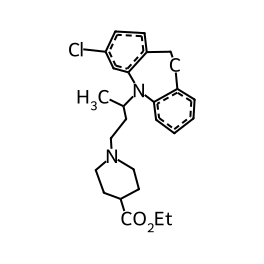 CCOC(=O)C1CCN(CCC(C)N2c3ccccc3CCc3ccc(Cl)cc32)CC1